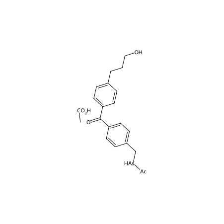 CC(=O)O.CC(=O)[AsH]Cc1ccc(C(=O)c2ccc(CCCO)cc2)cc1